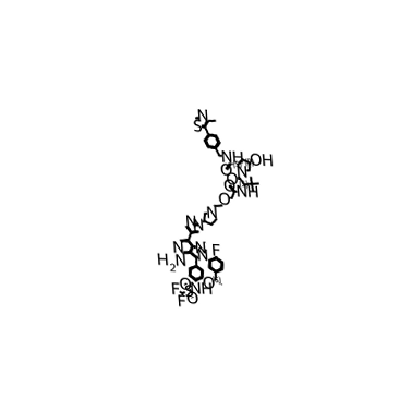 Cc1ncsc1-c1ccc(CNC(=O)[C@@H]2C[C@@H](O)CN2C(=O)[C@@H](NC(=O)COCCN2CCC(n3cc(-c4cnc(N)c5c(-c6ccc(NS(=O)(=O)C(F)F)c(O[C@@H](C)c7ccc(F)cc7)c6)nn(C)c45)cn3)C2)C(C)(C)C)cc1